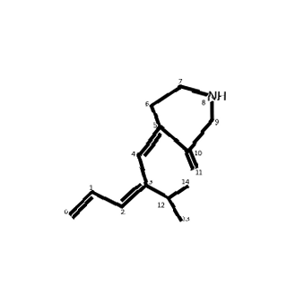 C=C/C=C(\C=C1\CCNCC1=C)C(C)C